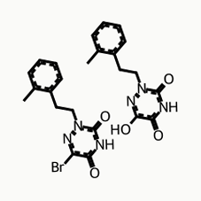 Cc1ccccc1CCn1nc(Br)c(=O)[nH]c1=O.Cc1ccccc1CCn1nc(O)c(=O)[nH]c1=O